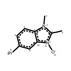 Cc1n(C)c2ccc(C(C)C)cc2[n+]1[O-]